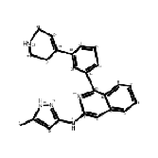 Cc1cc(Nc2cc3ccccc3c(-c3cccc(C4=CCNCC4)c3)n2)n[nH]1